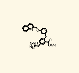 COC(=O)c1cc(Cc2nnn[nH]2)ccc1Cc1cccc(OCc2ccc3ccccc3n2)c1